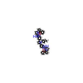 CC(C)(C)c1ccc(N2[C@@H](c3ccc4nc([C@@H]5CCCN5C(=O)C5(c6ccccc6)CCCC5)[nH]c4c3)CC[C@@H]2c2ccc3nc([C@@H]4CCCN4C(=O)C4(c5ccccc5)CCCC4)[nH]c3c2)cc1